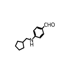 O=Cc1ccc(NCC2CCCC2)cc1